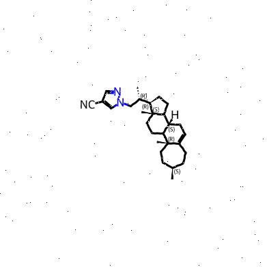 C[C@@H]1CCC2=CC[C@@H]3C(CC[C@@]4(C)C3CC[C@@H]4[C@@H](C)Cn3cc(C#N)cn3)[C@@]2(C)CC1